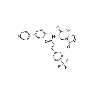 O=C(O)C(CN1CCOC1=O)N(Cc1ccc(-c2ccncc2)cc1)C(=O)C=Cc1ccc(C(F)(F)F)cc1